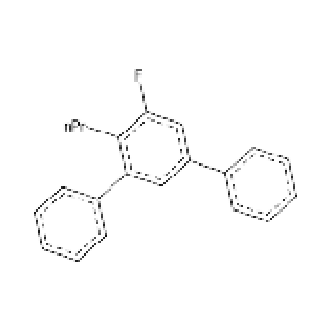 CCCc1c(F)cc(-c2ccccc2)cc1-c1ccccc1